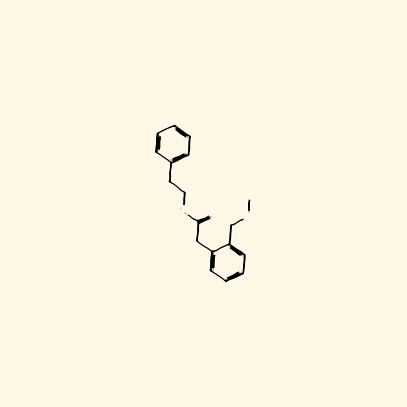 CSCc1ccccc1CC(=O)NCCc1ccccc1